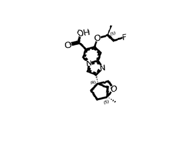 C[C@@H](CF)Oc1cc2nc([C@@]34CC[C@@](C)(C3)OC4)cn2cc1C(=O)O